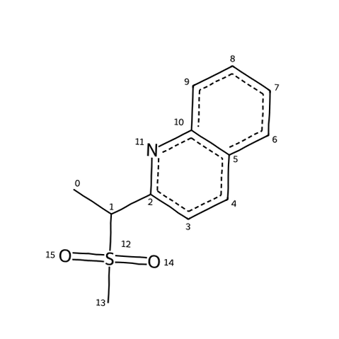 CC(c1ccc2ccccc2n1)S(C)(=O)=O